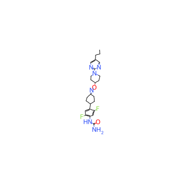 CCCc1cnc(N2CCC(ON=C3CCC(c4cc(F)c(NC(N)=O)cc4F)CC3)CC2)nc1